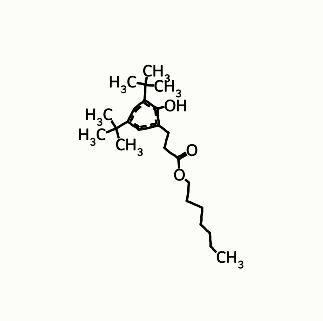 CCCCCCCOC(=O)CCc1cc(C(C)(C)C)cc(C(C)(C)C)c1O